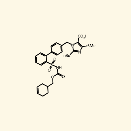 CCCCc1nc(SC)c(C(=O)O)n1Cc1ccc(-c2ccccc2S(=O)(=O)NC(=O)OCC2CC=CCC2)cc1